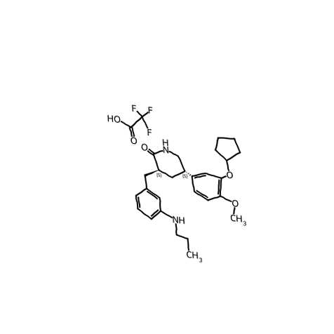 CCCNc1cccc(C[C@@H]2C[C@@H](c3ccc(OC)c(OC4CCCC4)c3)CNC2=O)c1.O=C(O)C(F)(F)F